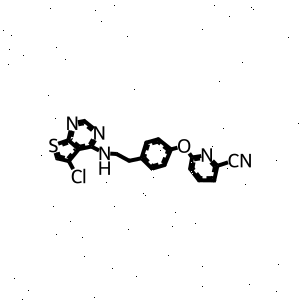 N#Cc1cccc(Oc2ccc(CCNc3ncnc4scc(Cl)c34)cc2)n1